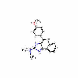 COc1ccc(C2=C3N=C(N(C)C)N=C3c3ccccc3C2)cc1